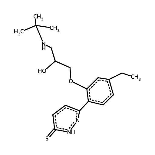 CCc1ccc(-c2ccc(=S)[nH]n2)c(OCC(O)CNC(C)(C)C)c1